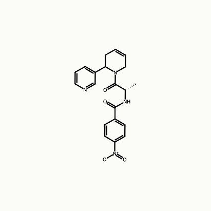 C[C@H](NC(=O)c1ccc([N+](=O)[O-])cc1)C(=O)N1CC=CCC1c1cccnc1